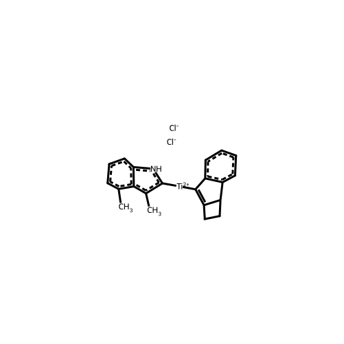 Cc1cccc2[nH][c]([Ti+2][C]3=C4CCC4c4ccccc43)c(C)c12.[Cl-].[Cl-]